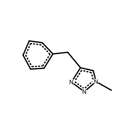 Cn1cc(Cc2ccccc2)nn1